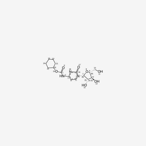 O=C(Nc1ccn([C@@H]2O[C@H](CO)[C@@H](O)[C@@H]2O)c(=O)n1)OC1CCCCC1